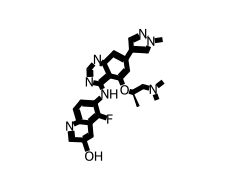 C[C@H](CN(C)C)Oc1cc(-c2cnn(C)c2)cc2ncnc(Nc3ccc4ncc(O)cc4c3F)c12